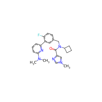 CN(C)c1cccc(-c2cc(CN(C(=O)c3cn(C)cn3)C3CCC3)ccc2F)n1